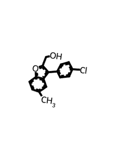 Cc1ccc2oc(CO)c(-c3ccc(Cl)cc3)c2c1